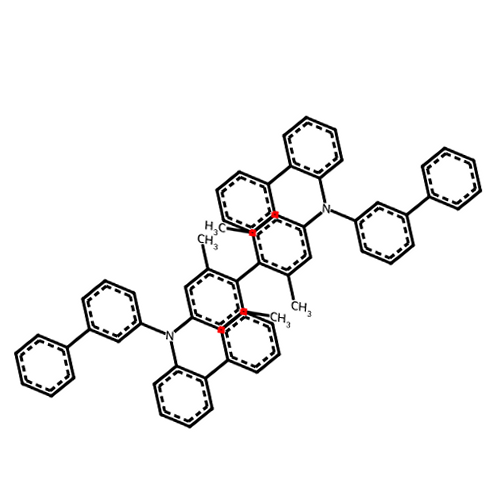 Cc1cc(N(c2cccc(-c3ccccc3)c2)c2ccccc2-c2ccccc2)cc(C)c1-c1c(C)cc(N(c2cccc(-c3ccccc3)c2)c2ccccc2-c2ccccc2)cc1C